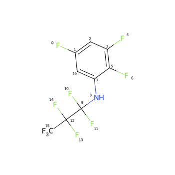 Fc1cc(F)c(F)c(NC(F)(F)C(F)(F)C(F)(F)F)c1